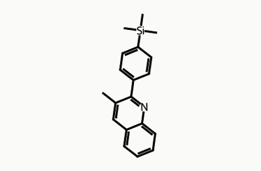 Cc1cc2ccccc2nc1-c1ccc([Si](C)(C)C)cc1